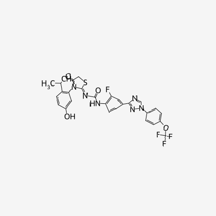 CC(C)c1ccc(O)cc1N1C(=O)CS/C1=N\C(=O)Nc1ccc(-c2ncn(-c3ccc(OC(F)(F)F)cc3)n2)cc1F